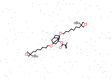 C=C(C)C(=O)OC12CC3CC(OCCCCCCCC4(CCCC)COC4)(CC(OCCCCCCCC4(CCCC)COC4)(C3)C1)C2